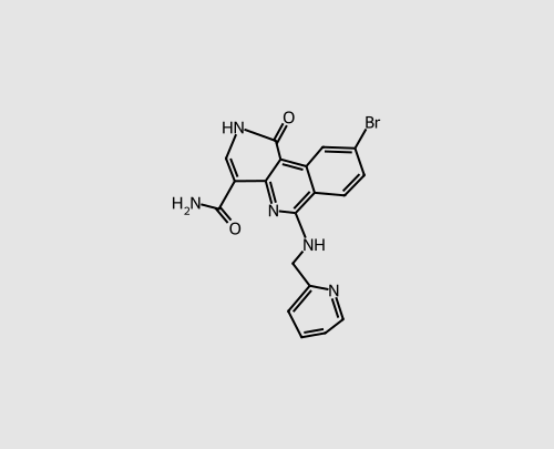 NC(=O)c1c[nH]c(=O)c2c1nc(NCc1ccccn1)c1ccc(Br)cc12